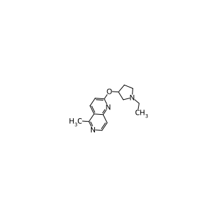 CCN1CCC(Oc2ccc3c(C)nccc3n2)C1